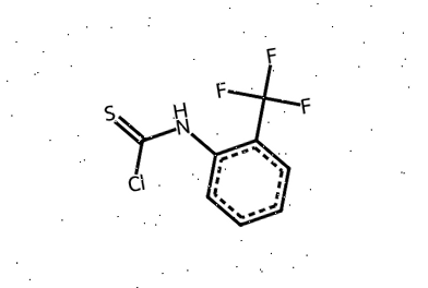 FC(F)(F)c1ccccc1NC(=S)Cl